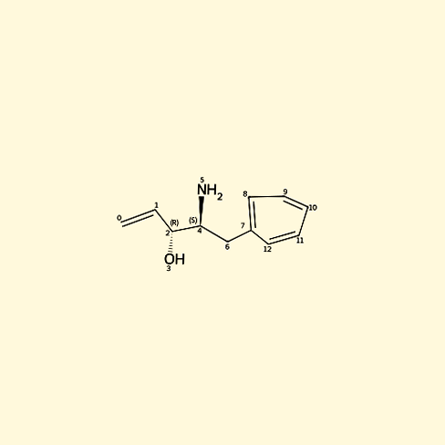 C=C[C@@H](O)[C@@H](N)Cc1ccccc1